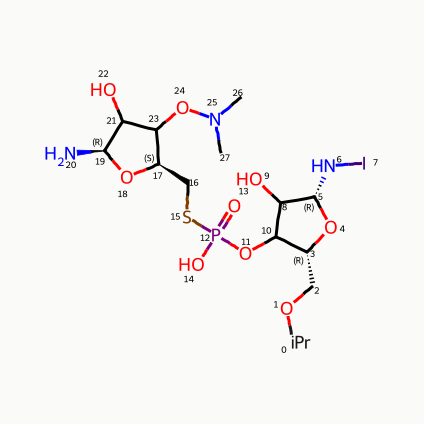 CC(C)OC[C@H]1O[C@@H](NI)C(O)C1OP(=O)(O)SC[C@H]1O[C@@H](N)C(O)C1ON(C)C